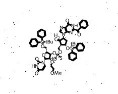 C=C1[C@H](CO[P@](O)(=S)O[C@H]2[C@@H](OCCOC)[C@H](n3ccc(=O)[nH]c3=O)O[C@@H]2CO[Si](c2ccccc2)(c2ccccc2)C(C)(C)C)[C@@H](O[Si](c2ccccc2)(c2ccccc2)C(C)(C)C)C[C@@H]1n1cnc2c(=O)[nH]c(C(=O)c3ccccc3)nc21